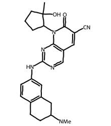 CNC1CCc2ccc(Nc3ncc4cc(C#N)c(=O)n(C5CCCC5(C)O)c4n3)cc2C1